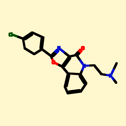 CN(C)CCn1c(=O)c2nc(C3=CC=C(Cl)CC3)oc2c2ccccc21